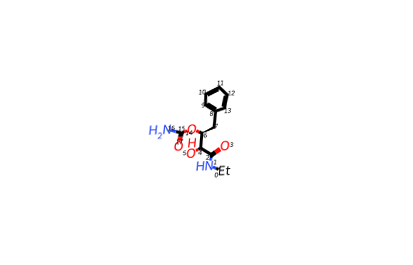 CCNC(=O)C(O)[C@H](Cc1ccccc1)OC(N)=O